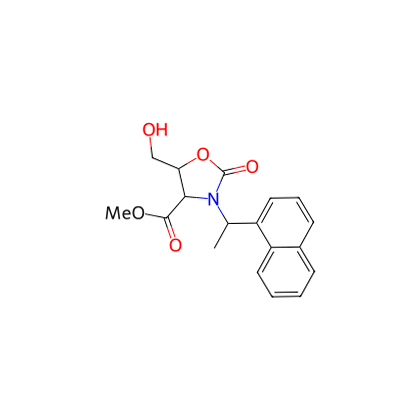 COC(=O)C1C(CO)OC(=O)N1C(C)c1cccc2ccccc12